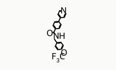 O=C(NCc1ccc(OC(F)(F)F)cc1)c1ccc(-c2ccncc2)cc1